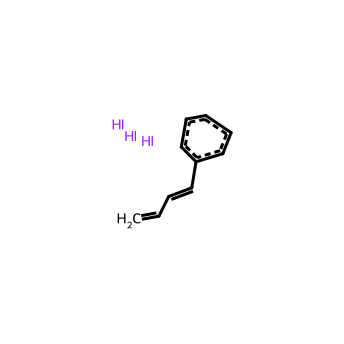 C=CC=Cc1ccccc1.I.I.I